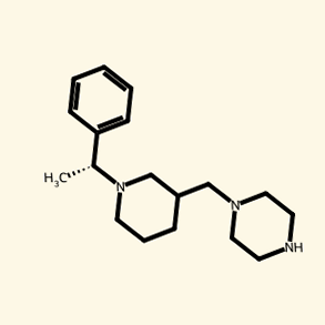 C[C@H](c1ccccc1)N1CCCC(CN2CCNCC2)C1